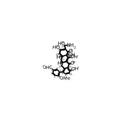 COc1ccc(C=O)cc1-c1ccc(O)c2c1C[C@H]1C[C@H]3CC(O)=C(C(N)O)C(=O)[C@@]3(O)C(O)=C1C2=O